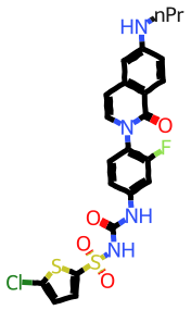 CCCNc1ccc2c(=O)n(-c3ccc(NC(=O)NS(=O)(=O)c4ccc(Cl)s4)cc3F)ccc2c1